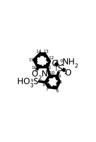 NS(=O)(=O)c1cccc(S(=O)(=O)O)c1-c1ccccc1[N+](=O)[O-]